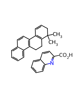 CC1(C)CC=CC2=C1CCc1c2ccc2ccccc12.O=C(O)c1ccc2ccccc2n1